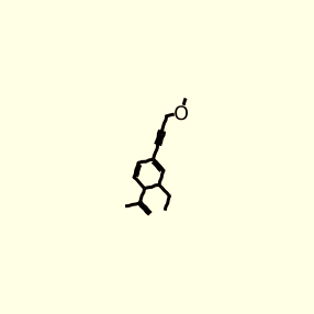 C=C(C)C1C=CC(C#CCOC)=CC1CC